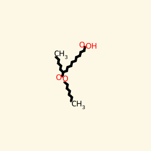 CCCCCCCCOC(=O)C(CCCCCC)CCCCCCCCCC(=O)O